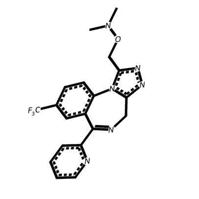 CN(C)OCc1nnc2n1-c1ccc(C(F)(F)F)cc1C(c1ccccn1)=NC2